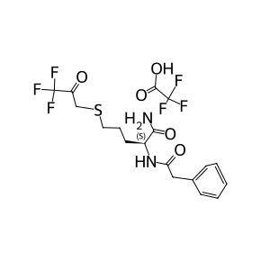 NC(=O)[C@H](CCCSCC(=O)C(F)(F)F)NC(=O)Cc1ccccc1.O=C(O)C(F)(F)F